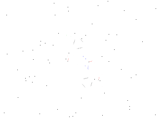 O=C(O)CC1CN(Cc2ccc(Cl)cc2Cl)C(=O)N(Cc2ccccc2C(=O)O)C1